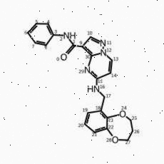 O=C(Nc1ccccc1)c1cnn2ccc(NCc3cccc4c3OCCCO4)nc12